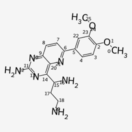 COc1ccc(-c2ccc3nc(N)nc(C(N)CCN)c3n2)cc1OC